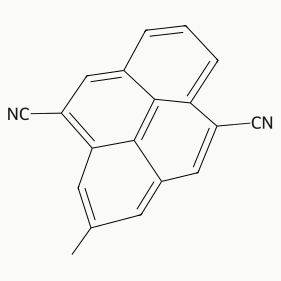 Cc1cc2cc(C#N)c3cccc4cc(C#N)c(c1)c2c43